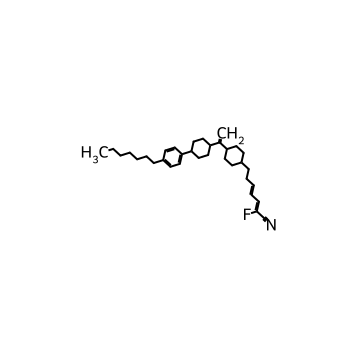 C=C(C1CCC(CCC=CC=C(F)C#N)CC1)C1CCC(c2ccc(CCCCCCC)cc2)CC1